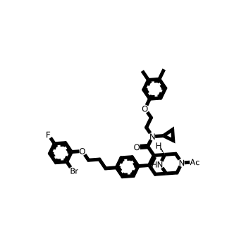 CC(=O)N1CC2CC(c3ccc(CCCOc4cc(F)ccc4Br)cc3)=C(C(=O)N(CCOc3ccc(C)c(C)c3)C3CC3)[C@@H](C1)N2